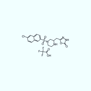 O=C(O)C(F)(F)F.O=c1[nH]nc(CC2CN(S(=O)(=O)c3ccc4cc(Cl)ccc4c3)CCN2)o1